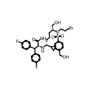 CC(C)CCN([C@H](CO)CCC[C@@H](N[C@H](C(N)=O)C(c1ccc(F)cc1)c1ccc(F)cc1)C1CC1)S(=O)(=O)c1ccc(CO)cc1